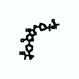 CC(=O)NC(C)(C)c1ccc(Oc2nc3nc(-c4ccc(C5(C(C)O)CC5)cc4)c(Cl)cc3[nH]2)cc1